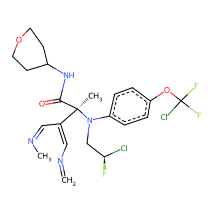 C=N/C=C(\C=N/C)[C@@](C)(C(=O)NC1CCOCC1)N(C[C@H](F)Cl)c1ccc(OC(F)(F)Cl)cc1